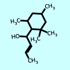 CC=CC(O)C1C(C)CC(C)CC1(C)C